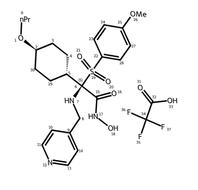 CCCO[C@H]1CC[C@H]([C@@](NCc2ccncc2)(C(=O)NO)S(=O)(=O)c2ccc(OC)cc2)CC1.O=C(O)C(F)(F)F